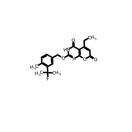 CCc1cc(=O)oc2nc(OCc3ccc(C)c(C(C)(C)F)c3)[nH]c(=O)c12